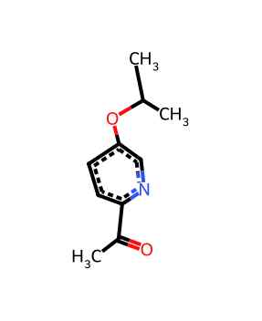 CC(=O)c1ccc(OC(C)C)cn1